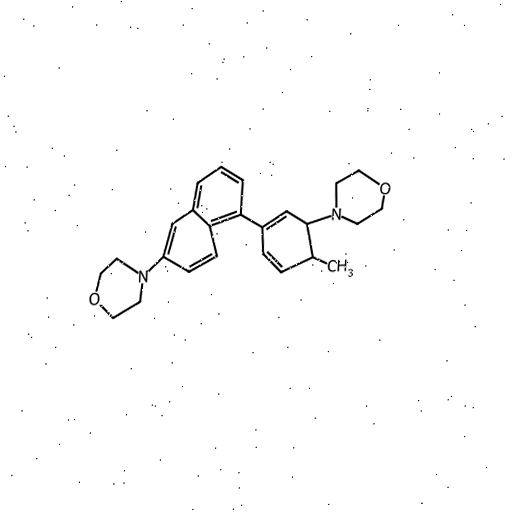 CC1C=CC(c2cccc3cc(N4CCOCC4)ccc23)=CC1N1CCOCC1